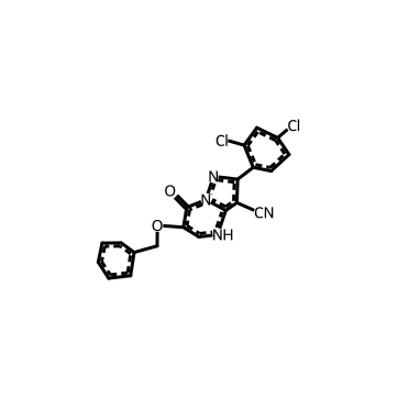 N#Cc1c(-c2ccc(Cl)cc2Cl)nn2c(=O)c(OCc3ccccc3)c[nH]c12